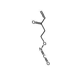 C=CC(=O)CCON=C=O